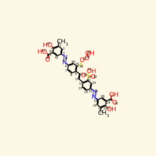 Cc1cc(N=Nc2ccc(C=Cc3ccc(N=Nc4cc(C)c(O)c(C(=O)O)c4)cc3S(=O)(=O)O)c(SOOO)c2)cc(C(=O)O)c1O